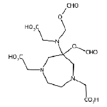 O=COCN(CC(=O)O)C1(OC=O)CN(CC(=O)O)CCN(CC(=O)O)C1